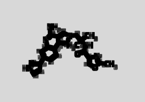 Cc1nc(C(=O)NC(C)(C)Cn2cc3c(N)nc4cc(-c5cc[nH]n5)ccc4c3n2)co1